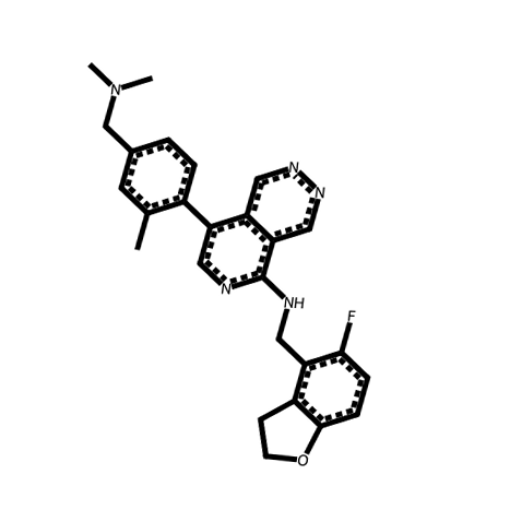 Cc1cc(CN(C)C)ccc1-c1cnc(NCc2c(F)ccc3c2CCO3)c2cnncc12